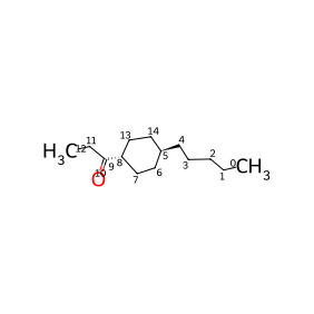 CCCCC[C@H]1CC[C@H](C(=O)CC)CC1